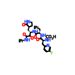 CC(C)C[C@H](NC(=O)[C@H](Cc1ccc(F)cn1)NC(=O)O)C(=O)N[C@@H](C[C@@H]1CCNC1=O)C(=O)C(=O)NC(C)C